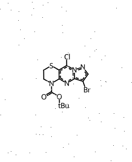 CC(C)(C)OC(=O)N1CCSc2c1nc1c(Br)cnn1c2Cl